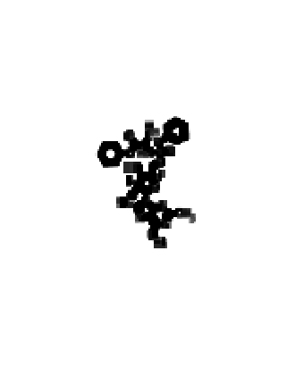 C#C[C@]1(F)[C@H](n2cnc3c(OCC)nc(C)nc32)O[C@](F)(CO[P@](=O)(NC(C)C(=O)OC2CCCCC2)Oc2ccccc2)[C@H]1O